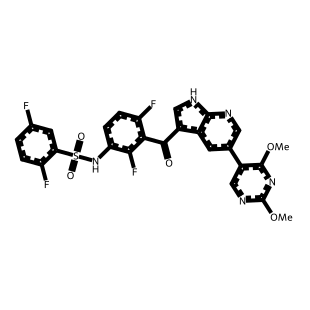 COc1ncc(-c2cnc3[nH]cc(C(=O)c4c(F)ccc(NS(=O)(=O)c5cc(F)ccc5F)c4F)c3c2)c(OC)n1